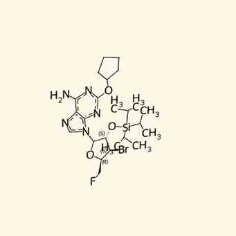 CC(C)[Si](O[C@H]1C(n2cnc3c(N)nc(OC4CCCC4)nc32)O[C@H](CF)[C@@H]1Br)(C(C)C)C(C)C